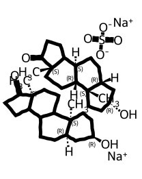 C[C@]12CCC3C(CC[C@@H]4C[C@H](O)CC[C@]34C)C1CCC2=O.C[C@]12CC[C@@H](O)C[C@H]1CC[C@@H]1C3CCC(=O)[C@@]3(C)CC[C@H]12.O=S(=O)([O-])[O-].[Na+].[Na+]